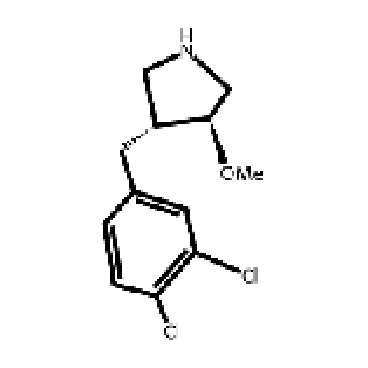 CO[C@@H]1CNC[C@H]1Cc1ccc(Cl)c(Cl)c1